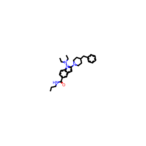 CCCNC(=O)c1ccc2c(c1)cc(N1CCC(Cc3ccccc3)CC1)n2N(CC)CC